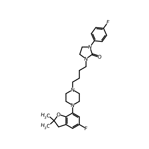 CC1(C)Cc2cc(F)cc(N3CCN(CCCCN4CCN(c5ccc(F)cc5)C4=O)CC3)c2O1